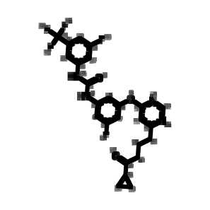 O=C(Nc1cc(F)cc(Oc2cc(CCCC(=O)C3CC3)ncn2)c1)Nc1cc(F)cc(C(F)(F)F)c1